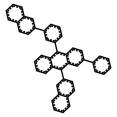 c1ccc(-c2ccc3c(-c4cccc(-c5ccc6ccccc6c5)c4)c4ccccc4c(-c4ccc5ccccc5c4)c3c2)cc1